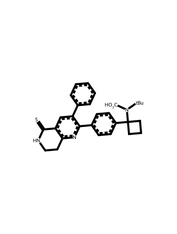 CC(C)(C)N(C(=O)O)C1(c2ccc(-c3nc4c(cc3-c3ccccc3)C(=S)NCC4)cc2)CCC1